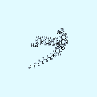 CCCCCCCCCCCCOc1ccc(S(=O)(=O)c2cnc3ccc([S+](C)[O-])cc3c2N2CCC(N3CCC(N4CCCC(O)C4)CC3)CC2)cc1